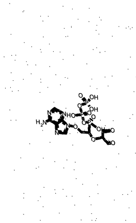 Nc1ncnc2c1ncn2OCC(OC(C=O)C=O)P(=O)(O)OP(=O)(O)OP(=O)(O)O